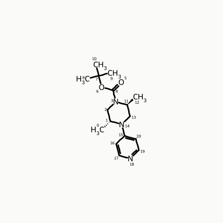 C[C@@H]1CN(C(=O)OC(C)(C)C)[C@@H](C)CN1c1ccncc1